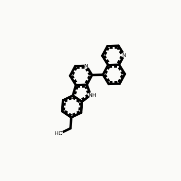 OCc1ccc2c(c1)[nH]c1c(-c3cccc4ncccc34)nccc12